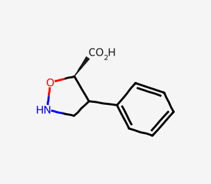 O=C(O)[C@@H]1ONCC1c1ccccc1